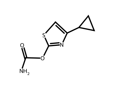 NC(=O)Oc1nc(C2CC2)cs1